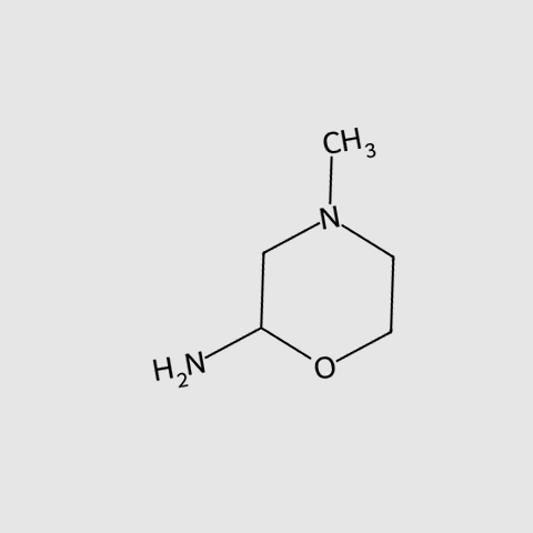 CN1CCOC(N)C1